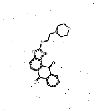 O=C1c2ccccc2C(=O)c2c1ccc1nc(SCCN3CCOCC3)[nH]c21